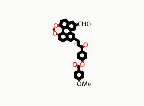 COc1ccc(C(=O)Oc2ccc(C(=O)/C=C/c3ccc4c5c(ccc4c3)OCOc3ccc4cc(C=O)ccc4c3-5)cc2)cc1